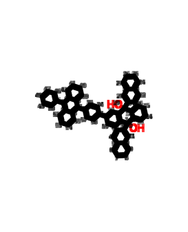 OC1(c2ccc3ccccc3c2)c2ccccc2C(O)(c2ccc3ccccc3c2)c2cc(-c3ccc(-c4c5ccccc5c(-c5ccccc5)c5ccccc45)cc3)ccc21